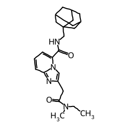 CCN(C)C(=O)Cc1cn2c(C(=O)NCC34CC5CC(CC(C5)C3)C4)cccc2n1